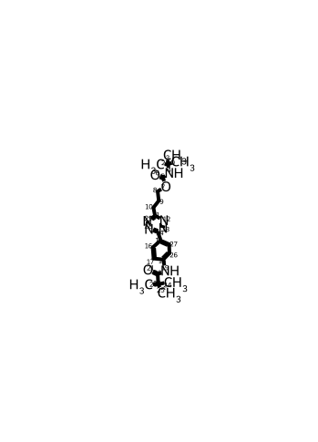 CC(C)(C)NC(=O)OCCCc1nnc(-c2ccc(NC(=O)C(C)(C)C)cc2)nn1